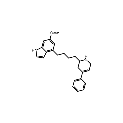 COc1cc(CCCCC2CC(c3ccccc3)=CCN2)c2cc[nH]c2c1